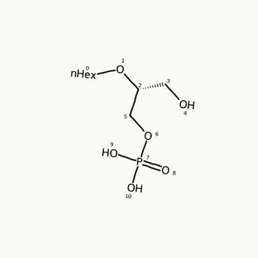 CCCCCCO[C@H](CO)COP(=O)(O)O